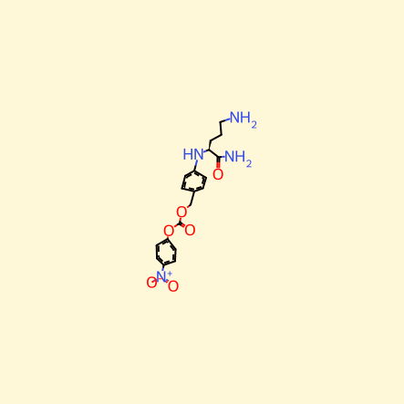 NCCC[C@H](Nc1ccc(COC(=O)Oc2ccc([N+](=O)[O-])cc2)cc1)C(N)=O